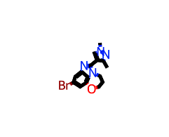 Cc1nn(C)cc1-c1nc2cc(Br)cc3c2n1CCCO3